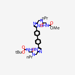 CCCN(Cc1ncc(-c2ccc(-c3ccc(-c4cnc(CN(CCC)C(=O)CNC(=O)OC(C)(C)C)[nH]4)cc3)cc2)[nH]1)C(=O)CNC(=O)OC